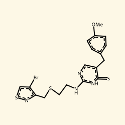 COc1ccc(Cc2cnc(NCCSCc3nscc3Br)[nH]c2=S)cc1